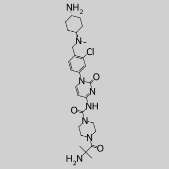 CN(Cc1ccc(-n2ccc(NC(=O)N3CCN(C(=O)C(C)(C)N)CC3)nc2=O)cc1Cl)[C@H]1CC[C@H](N)CC1